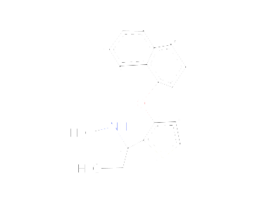 CCC(NC)c1sccc1Oc1cccc2ccccc12